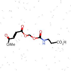 COC(=O)C=CC(=O)OCOC(=O)NCCC(=O)O